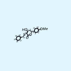 COc1ccc(C2CC(O)=C(SCc3ccccc3)C(=O)O2)cc1